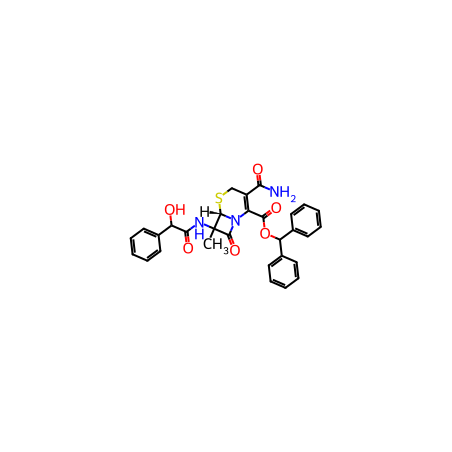 CC1(NC(=O)C(O)c2ccccc2)C(=O)N2C(C(=O)OC(c3ccccc3)c3ccccc3)=C(C(N)=O)CS[C@H]21